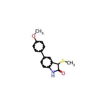 COc1ccc(-c2ccc3c(c2)C(SC)C(=O)N3)cc1